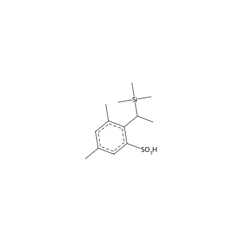 Cc1cc(C)c(C(C)[Si](C)(C)C)c(S(=O)(=O)O)c1